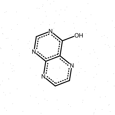 Oc1ncnc2nccnc12